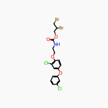 O=C(NCCOc1ccc(Oc2cccc(Cl)c2)cc1Cl)OCC(Br)CBr